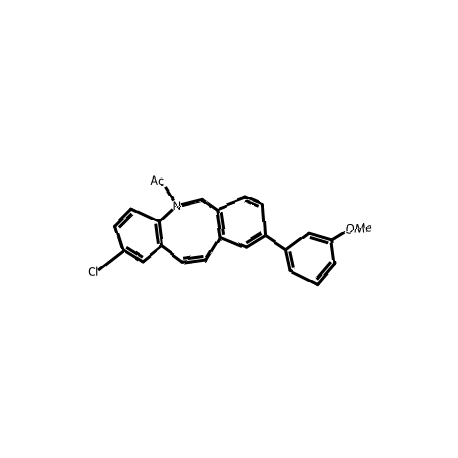 COc1cccc(-c2ccc3c(c2)C=Cc2cc(Cl)ccc2N(C(C)=O)C3)c1